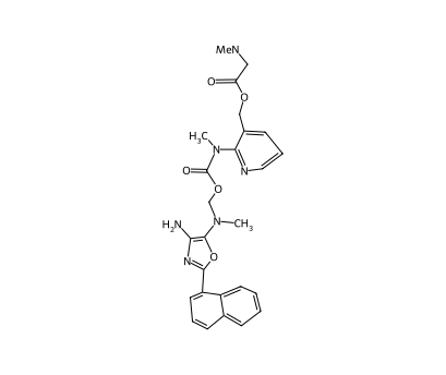 CNCC(=O)OCc1cccnc1N(C)C(=O)OCN(C)c1oc(-c2cccc3ccccc23)nc1N